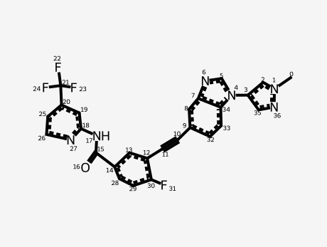 Cn1cc(-n2cnc3cc(C#Cc4cc(C(=O)Nc5cc(C(F)(F)F)ccn5)ccc4F)ccc32)cn1